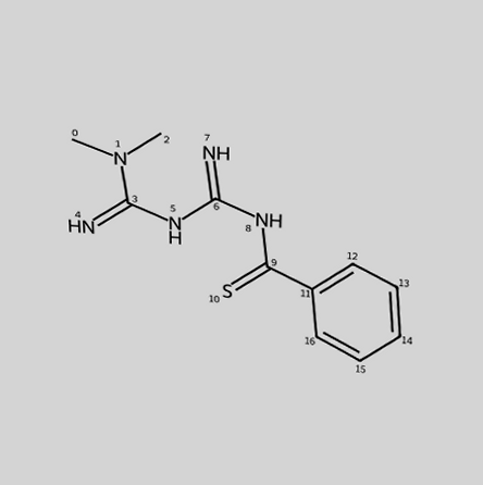 CN(C)C(=N)NC(=N)NC(=S)c1ccccc1